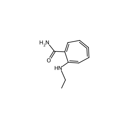 CCNC1=CC=C=CC=C1C(N)=O